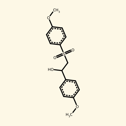 COc1ccc(C(O)CS(=O)(=O)c2ccc(OC)cc2)cc1